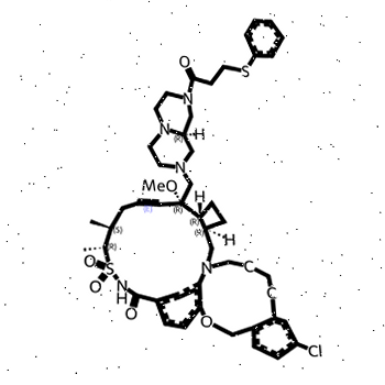 CO[C@@]1(CN2CCN3CCN(C(=O)CCSc4ccccc4)C[C@H]3C2)/C=C/C[C@H](C)[C@@H](C)S(=O)(=O)NC(=O)c2ccc3c(c2)N(CCCCc2cc(Cl)ccc2CO3)C[C@@H]2CC[C@H]21